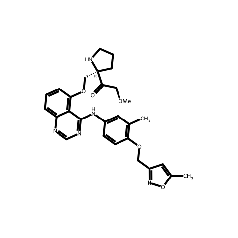 COCC(=O)[C@]1(COc2cccc3ncnc(Nc4ccc(OCc5cc(C)on5)c(C)c4)c23)CCCN1